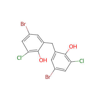 Oc1c(Cl)cc(Br)cc1Cc1cc(Br)cc(Cl)c1O